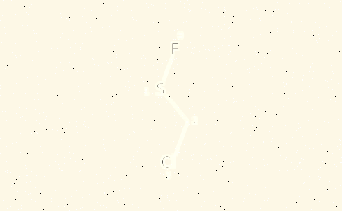 FSCCl